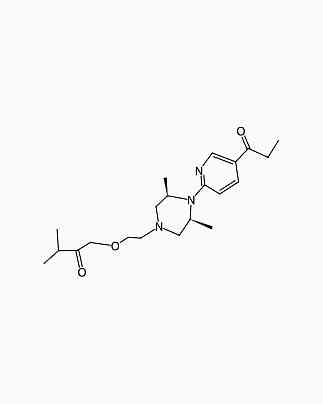 CCC(=O)c1ccc(N2[C@H](C)CN(CCOCC(=O)C(C)C)C[C@@H]2C)nc1